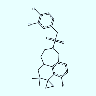 CC1(C)CC2CCN(S(=O)(=O)Cc3ccc(Cl)c(Cl)c3)Cc3ccc(F)c(c32)C12CC2